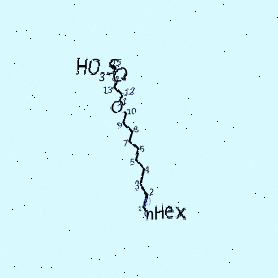 CCCCCC/C=C/CCCCCCCCOCCOS(=O)(=O)O